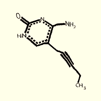 CCC#Cc1c[nH]c(=O)nc1N